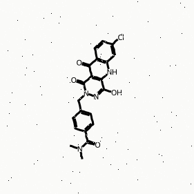 CN(C)C(=O)c1ccc(Cn2nc(O)c3[nH]c4cc(Cl)ccc4c(=O)c3c2=O)cc1